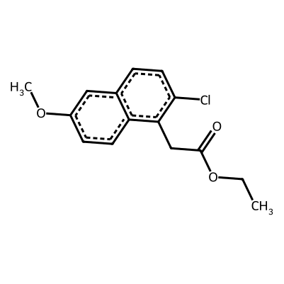 CCOC(=O)Cc1c(Cl)ccc2cc(OC)ccc12